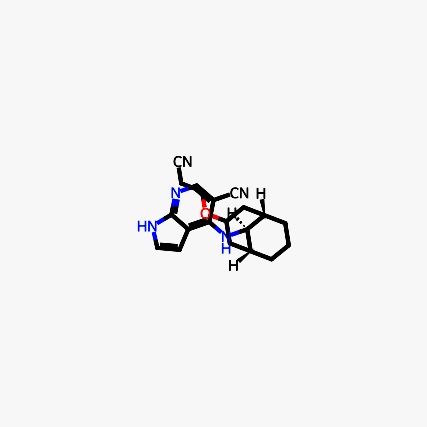 N#CCCOC1C[C@H]2CCC[C@@H](C1)[C@@H]2Nc1c(C#N)cnc2[nH]ccc12